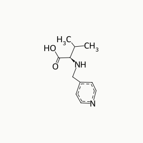 CC(C)[C@@H](NCc1ccncc1)C(=O)O